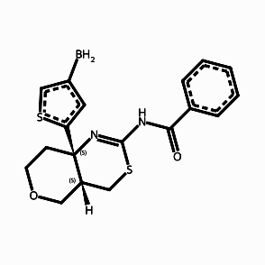 Bc1csc([C@]23CCOC[C@H]2CSC(NC(=O)c2ccccc2)=N3)c1